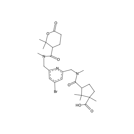 CN(Cc1cc(Br)cc(CN(C)C(=O)C2CCC(C)(C(=O)O)C2(C)C)n1)C(=O)C1CCC(=O)OC1(C)C